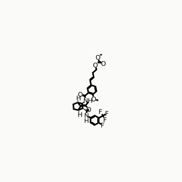 COC(=O)OCCC=Cc1ccc(OC)c(C(=O)N[C@H]2[C@@H](C(=O)Nc3ccc(F)c(C(F)(F)F)c3)[C@H]3CC[C@@H]2C3=C(C)C)c1